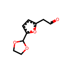 O=CCc1ccc(C2OCCO2)o1